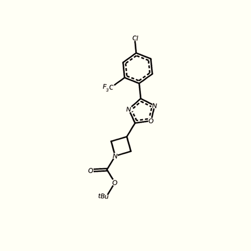 CC(C)(C)OC(=O)N1CC(c2nc(-c3ccc(Cl)cc3C(F)(F)F)no2)C1